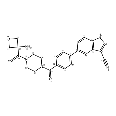 N#Cc1c[nH]c2ccc(-c3ccc(C(=O)N4CCN(C(=O)C5(N)COC5)CC4)cc3)cc12